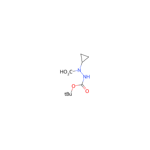 CC(C)(C)OC(=O)NN(C(=O)O)C1CC1